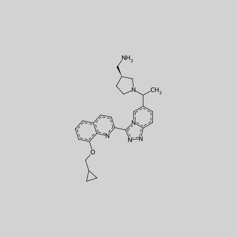 CC(c1ccc2nnc(-c3ccc4cccc(OCC5CC5)c4n3)n2c1)N1CC[C@@H](CN)C1